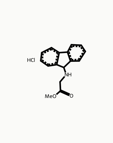 COC(=O)CNC1c2ccccc2-c2ccccc21.Cl